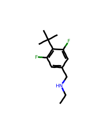 CCNCc1cc(F)c(C(C)(C)C)c(F)c1